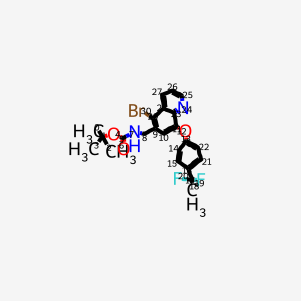 CC(C)(C)OC(=O)NCc1cc(Oc2ccc(C(C)(F)F)cc2)c2ncccc2c1Br